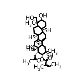 C/C=C(/C)C(=O)O[C@H]1[C@H](CC(C)=O)[C@@]2(CO)C(C[C@]1(C)S)C1=CCC3[C@@]4(S)CC[C@H](O)[C@@](C)(CO)C4CC[C@@]3(S)[C@]1(S)C[C@H]2O